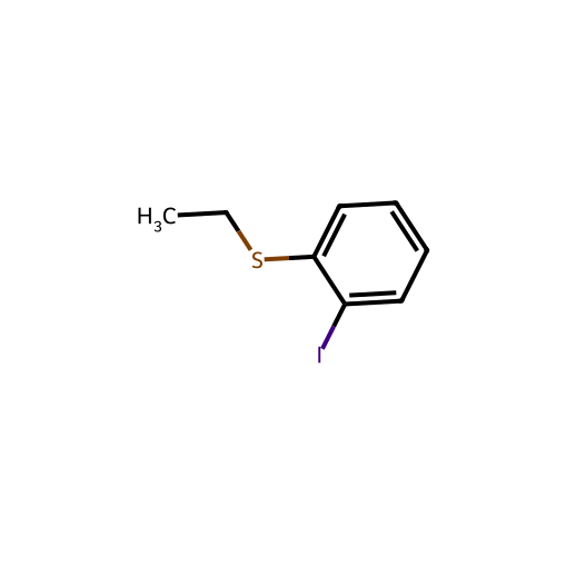 CCSc1ccccc1I